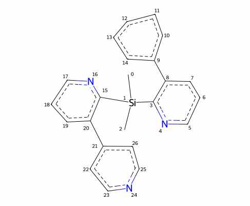 C[Si](C)(c1ncccc1-c1ccccc1)c1ncccc1-c1ccncc1